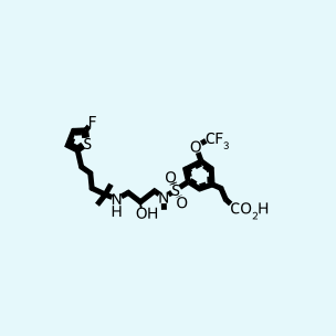 CN(C[C@H](O)CNC(C)(C)CCCc1ccc(F)s1)S(=O)(=O)c1cc(CCC(=O)O)cc(OC(F)(F)F)c1